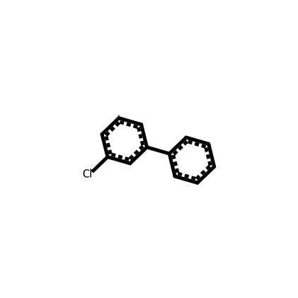 Clc1c[c]cc(-c2ccccc2)c1